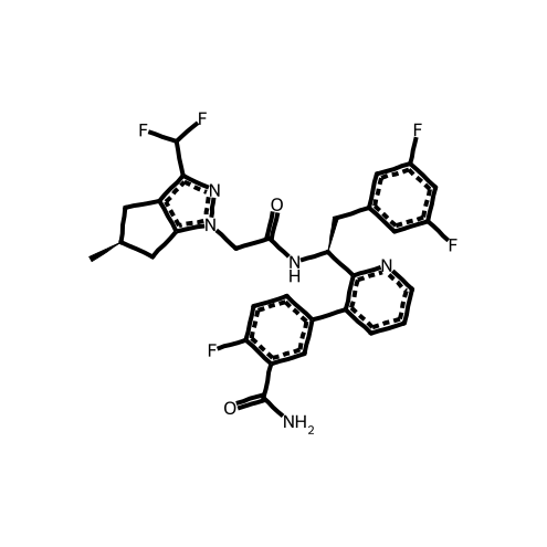 C[C@H]1Cc2c(C(F)F)nn(CC(=O)N[C@@H](Cc3cc(F)cc(F)c3)c3ncccc3-c3ccc(F)c(C(N)=O)c3)c2C1